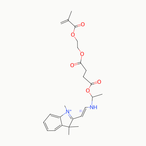 C=C(C)C(=O)OCCOC(=O)CCC(=O)OC(C)N/C=C/C1=[N+](C)c2ccccc2C1(C)C